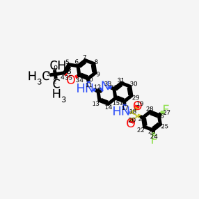 CC(C)(C)c1cc2cccc(Nc3ccc4c(NS(=O)(=O)c5cc(F)cc(F)c5)cccc4n3)c2o1